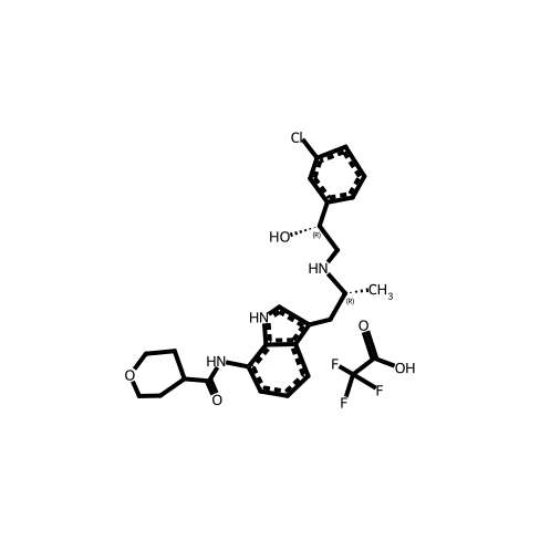 C[C@H](Cc1c[nH]c2c(NC(=O)C3CCOCC3)cccc12)NC[C@H](O)c1cccc(Cl)c1.O=C(O)C(F)(F)F